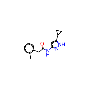 Cc1ccccc1CC(=O)Nc1cc(C2CC2)[nH]n1